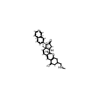 CNCC1CC(=O)C2=C(C1)O[C@@H]1C(=C2)C=C[C@]2(C)[C@@H](c3ccc4ccncc4c3)C(=O)C[C@@H]12